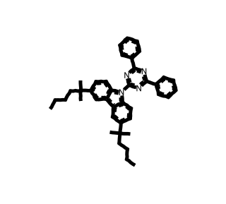 CCCCC(C)(C)c1ccc2c(c1)c1cc(C(C)(C)CCCC)ccc1n2-c1nc(-c2ccccc2)nc(-c2ccccc2)n1